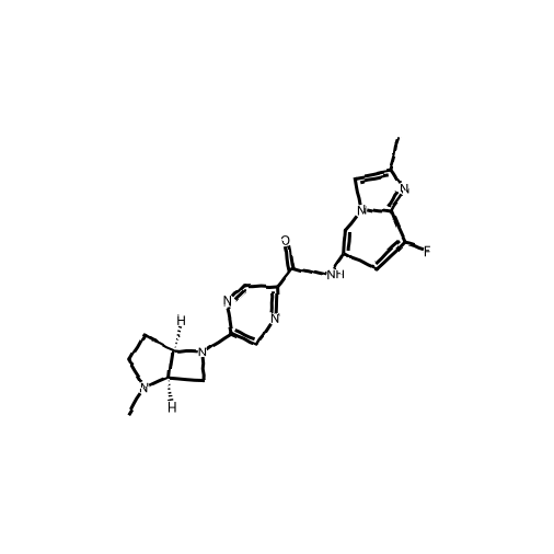 Cc1cn2cc(NC(=O)c3cnc(N4C[C@@H]5[C@H]4CCN5C)cn3)cc(F)c2n1